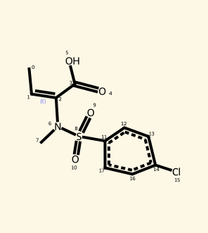 C/C=C(\C(=O)O)N(C)S(=O)(=O)c1ccc(Cl)cc1